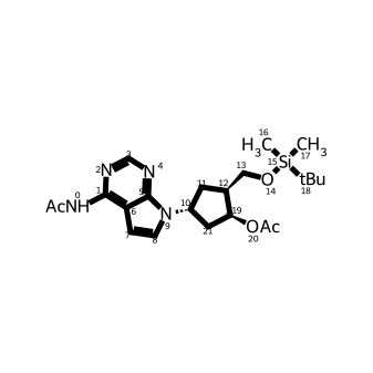 CC(=O)Nc1ncnc2c1ccn2[C@@H]1C[C@@H](CO[Si](C)(C)C(C)(C)C)[C@@H](OC(C)=O)C1